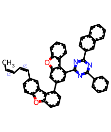 C/C=C\C=C/c1ccc2oc3cccc(-c4cc(-c5nc(-c6ccccc6)nc(-c6ccc7ccccc7c6)n5)c5c(c4)oc4ccccc45)c3c2c1